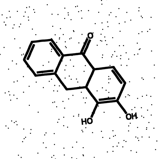 O=C1c2ccccc2CC2C(O)=C(O)C=CC12